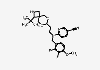 COc1ccc(CN(CCC2OCC3(CNC3C(C)(C)C)CO2)c2ccc(C#N)cn2)c(F)c1F